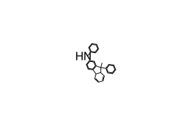 CC1(c2ccccc2)c2cc(Nc3ccccc3)ccc2C2C=CC=CC21